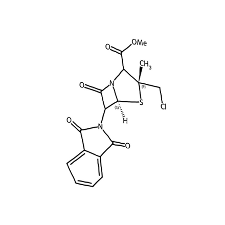 COC(=O)C1N2C(=O)C(N3C(=O)c4ccccc4C3=O)[C@@H]2S[C@@]1(C)CCl